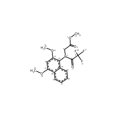 COC(=O)CN(C(=O)C(F)(F)F)c1c(OC)cc(OC)c2ccccc12